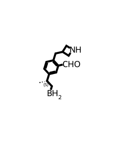 BC[C@H](C)c1ccc(CC2CNC2)c(C=O)c1